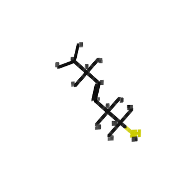 CC(C)C(C)(C)/C=C/C(C)(C)C(C)(C)S